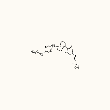 Cc1cc(OCCC(C)(C)O)cc(C)c1-c1cccc2c1CC[C@H]2Nc1cnc(C2C[C@H]2C(=O)O)cn1